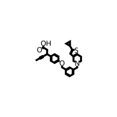 CC#CC(CC(=O)O)c1ccc(OCc2cccc(CN3CCc4sc(C5CC5)cc4C3)c2)cc1